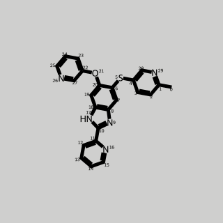 Cc1ccc(Sc2cc3nc(-c4ccccn4)[nH]c3cc2Oc2cccnc2)cn1